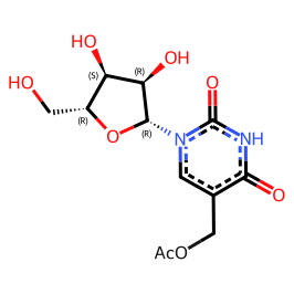 CC(=O)OCc1cn([C@@H]2O[C@H](CO)[C@@H](O)[C@H]2O)c(=O)[nH]c1=O